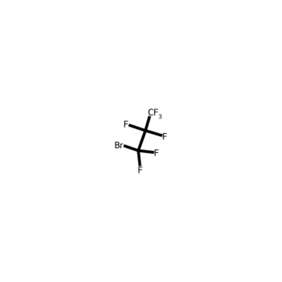 FC(F)(F)C(F)(F)C(F)(F)Br